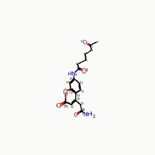 CC(=O)CCCCC(=O)Nc1ccc2c(CC(N)=O)cc(=O)oc2c1